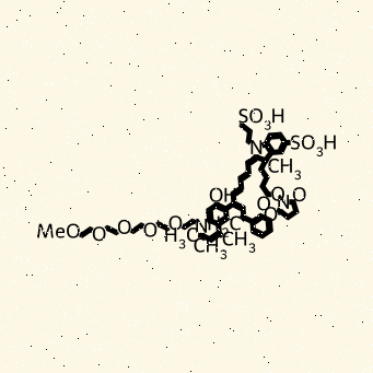 C=C(/C=C(/C=C/C=C/C=C1/N(CCCS(=O)(=O)O)c2ccc(S(=O)(=O)O)cc2C1(C)CCCC(=O)ON1C(=O)CCC1=O)c1cc2c(cc1O)N(CCOCCOCCOCCOCCOC)C(C)(C)C=C2C)c1ccccc1